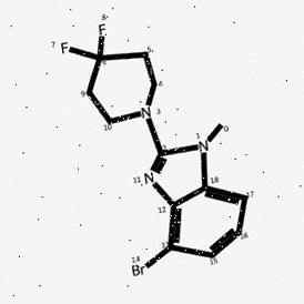 Cn1c(N2CCC(F)(F)CC2)nc2c(Br)cccc21